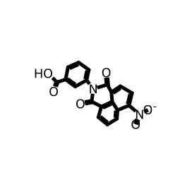 O=C(O)c1cccc(N2C(=O)c3cccc4c([N+](=O)[O-])ccc(c34)C2=O)c1